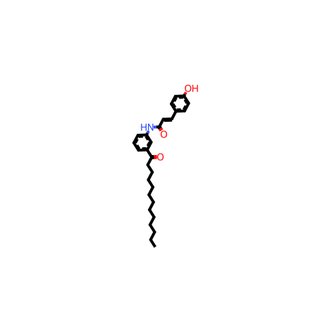 CCCCCCCCCCCCC(=O)c1cccc(NC(=O)C=Cc2ccc(O)cc2)c1